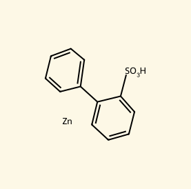 O=S(=O)(O)c1ccccc1-c1ccccc1.[Zn]